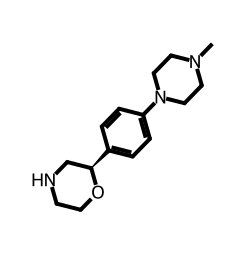 CN1CCN(c2ccc([C@@H]3CNCCO3)cc2)CC1